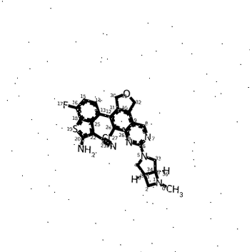 CN1C[C@H]2CN(c3ncc4c5c(c(-c6ccc(F)c7sc(N)c(C#N)c67)c(Cl)c4n3)COC5)C[C@H]21